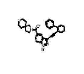 O=C(c1ccc2[nH]nc(C#Cc3ccccc3-c3ccccc3)c2c1)N1CCC2(CCOCC2)C1